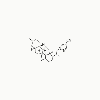 C[C@H]1CC[C@H]2[C@H](CC[C@]3(I)[C@@H]2CC[C@]2(C)C([C@@H](C)Cn4cc(C#N)cn4)CC[C@@H](C)[C@@H]32)C1